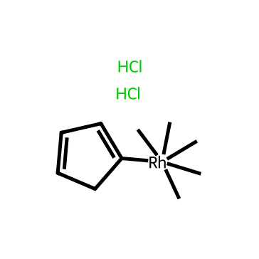 Cl.Cl.[CH3][Rh]([CH3])([CH3])([CH3])([CH3])[C]1=CC=CC1